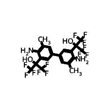 Cc1cc(-c2cc(C)c(N)c(C(O)(C(F)(F)F)C(F)(F)F)c2)cc(C(O)(C(F)(F)F)C(F)(F)F)c1N